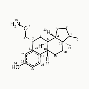 CC1CC[C@H]2[C@@H]3C[C@@H](CON)c4cc(O)ccc4[C@H]3CC[C@]12C